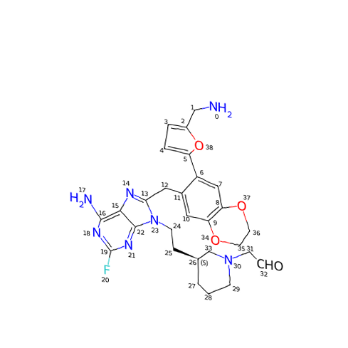 NCc1ccc(-c2cc3c(cc2Cc2nc4c(N)nc(F)nc4n2CC[C@@H]2CCCN(CC=O)C2)OCCO3)o1